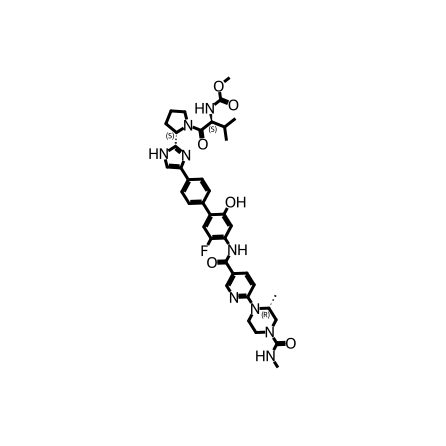 CNC(=O)N1CCN(c2ccc(C(=O)Nc3cc(O)c(-c4ccc(-c5c[nH]c([C@@H]6CCCN6C(=O)[C@@H](NC(=O)OC)C(C)C)n5)cc4)cc3F)cn2)[C@H](C)C1